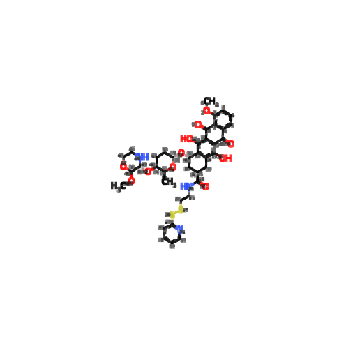 COc1cccc2c1C(=O)c1c(O)c3c(c(O)c1C2=O)C[C@@H](C(=O)NCCSSc1ccccn1)C[C@@H]3O[C@H]1CC[C@H](O[C@H]2NCCO[C@@H]2OC)[C@H](C)O1